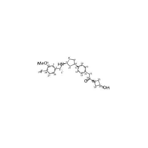 COc1cc([C@@H](C)N[C@H]2CC[C@@H](c3ccc(CC(=O)N4CC(O)C4)cc3)C2)ccc1F